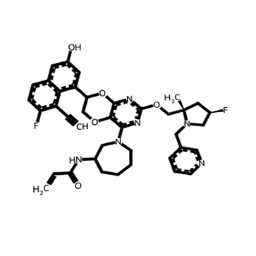 C#Cc1c(F)ccc2cc(O)cc(C3COc4c(nc(OC[C@]5(C)C[C@@H](F)CN5Cc5cccnc5)nc4N4CCCCC(NC(=O)C=C)C4)O3)c12